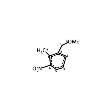 COCc1cccc([N+](=O)[O-])c1C